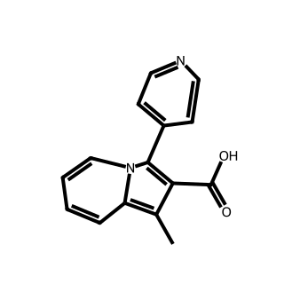 Cc1c(C(=O)O)c(-c2ccncc2)n2ccccc12